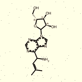 CC(C)=CC(N)c1ncnc2c1ncn2C1O[C@H](CO)[C@@H](O)[C@H]1O